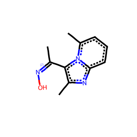 C/C(=N/O)c1c(C)nc2cccc(C)n12